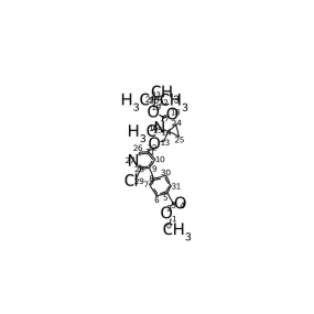 CCOC(=O)c1ccc(-c2cc(OCC3(N(C)C(=O)OC(C)(C)C)CC3)cnc2Cl)cc1